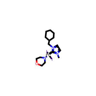 Cn1ccn(CC2CCCCC2)[c]1=[Pt]([I])([I])[N]1CCOCC1